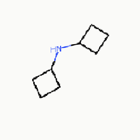 C1CC(NC2CCC2)C1